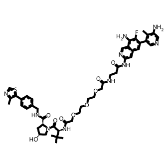 Cc1ncsc1-c1ccc(CNC(=O)[C@@H]2C[C@@H](O)CN2C(=O)[C@@H](NC(=O)COCCOCCOCC(=O)NCCC(=O)Nc2cc3cc(-c4cncc(N)c4C)c(F)c(N)c3cn2)C(C)(C)C)cc1